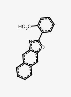 O=C(O)c1ccccc1-c1nc2cc3ccccc3cc2o1